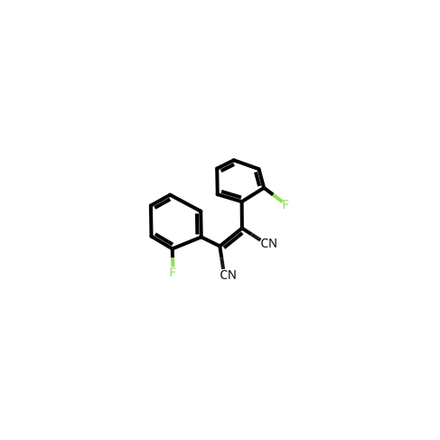 N#C/C(=C(\C#N)c1ccccc1F)c1ccccc1F